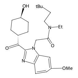 CCN(CCC(C)(C)C)C(=O)Cn1c(C(=O)[C@H]2CC[C@H](O)CC2)nc2ccc(OC)cc21